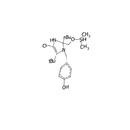 CCCCC1(CO[SiH](C)C)NC(Cl)=C(C(C)(C)C)N1Cc1ccc(O)cc1